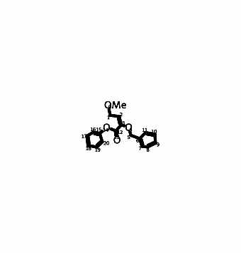 COC/C=C(/OCc1ccccc1)C(=O)Oc1ccccc1